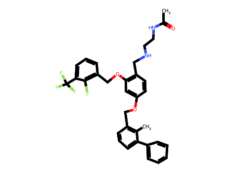 CC(=O)NCCNCc1ccc(OCc2cccc(-c3ccccc3)c2C)cc1OCc1cccc(C(F)(F)F)c1F